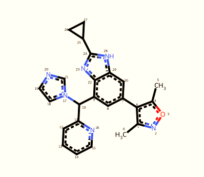 Cc1noc(C)c1-c1cc(C(c2ccccn2)n2ccnc2)c2nc(C3CC3)[nH]c2c1